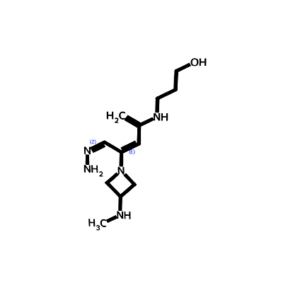 C=C(/C=C(\C=N/N)N1CC(NC)C1)NCCCO